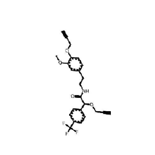 C#CCOc1ccc(CCNC(=O)C(OCC#C)c2ccc(C(F)(F)F)cc2)cc1OC